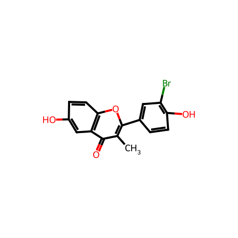 Cc1c(-c2ccc(O)c(Br)c2)oc2ccc(O)cc2c1=O